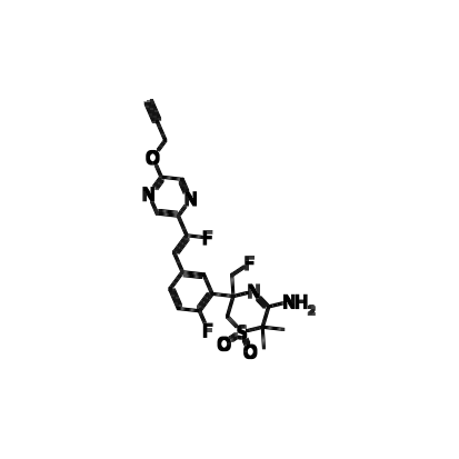 C#CCOc1cnc(C(F)=Cc2ccc(F)c(C3(CF)CS(=O)(=O)C(C)(C)C(N)=N3)c2)cn1